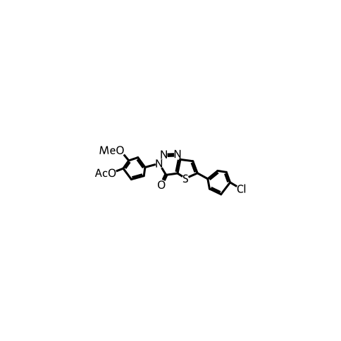 COc1cc(-n2nnc3cc(-c4ccc(Cl)cc4)sc3c2=O)ccc1OC(C)=O